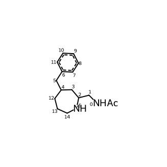 CC(=O)NCC1CC(Cc2ccccc2)CCCN1